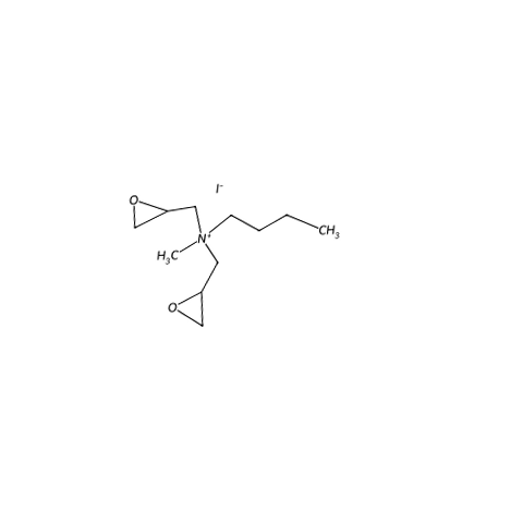 CCCC[N+](C)(CC1CO1)CC1CO1.[I-]